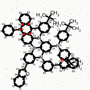 CC(C)(C)c1ccc(N(c2ccc(C(C)(C)C)cc2)c2cc3c4c(c2)N(c2ccc(C(C)(C)C)cc2-c2ccccc2)c2cc(N(c5ccccc5)c5ccccc5)ccc2B4c2ccc(-c4cc5ccccc5o4)cc2N3c2cccc(-c3cc4ccccc4o3)c2)cc1